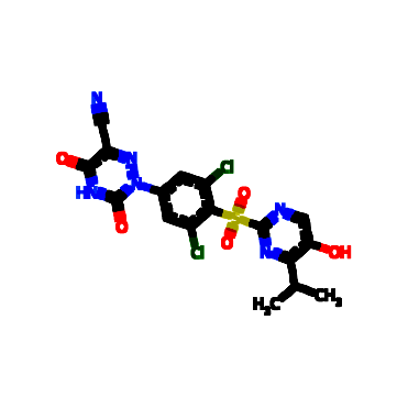 CC(C)c1nc(S(=O)(=O)c2c(Cl)cc(-n3nc(C#N)c(=O)[nH]c3=O)cc2Cl)ncc1O